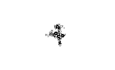 Cn1nc(NS(C)(=O)=O)c2cccc(-c3cc4sc(N5CC6(COC6)C5)nc4nc3[C@H](Cc3cc(F)cc(F)c3)NC(=O)Cn3nc(C(F)(F)F)c4c3C(F)(F)[C@@H]3C[C@H]43)c21